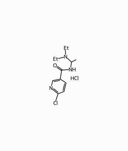 CCN(CC)C(C)NC(=O)c1ccc(Cl)nc1.Cl